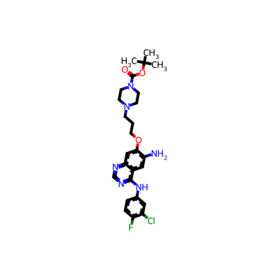 CC(C)(C)OC(=O)N1CCN(CCCOc2cc3ncnc(Nc4ccc(F)c(Cl)c4)c3cc2N)CC1